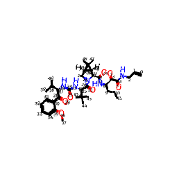 C=CCNC(=O)C(=O)C(CCC)NC(=O)[C@@H]1[C@@H]2[C@H](CN1C(=O)[C@@H](NC(=O)N[C@H](C(=O)c1ccccc1OC)C(C)C)C(C)(C)C)C2(C)C